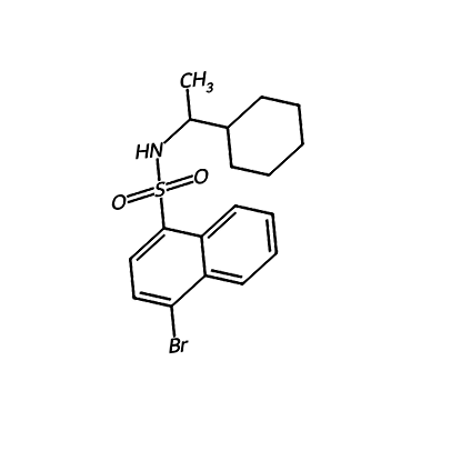 CC(NS(=O)(=O)c1ccc(Br)c2ccccc12)C1CCCCC1